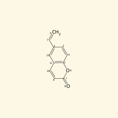 C=Cc1ccc2oc(=O)ccc2c1